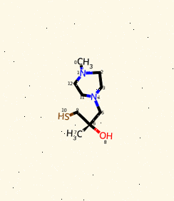 CN1CCN(C[C@](C)(O)CS)CC1